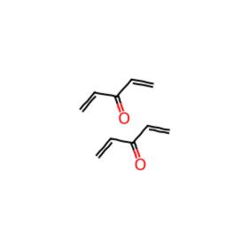 C=CC(=O)C=C.C=CC(=O)C=C